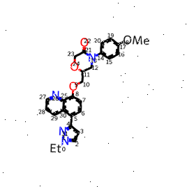 CCn1ccc(-c2ccc(OCC3CN(c4ccc(OC)cc4)C(=O)CO3)c3ncccc23)n1